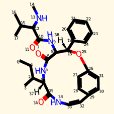 CCC(C)[C@@H]1NC(=O)C(NC(=O)C(NC)C(C)C)[C@H](c2ccccc2)Oc2ccc(cc2)/C=C\NC1=O